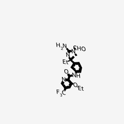 CCOc1cc(C(F)(F)F)cnc1C(=O)Nc1cccc([C@](C)(CC)/N=C(/N)N(C)C=O)c1